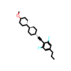 CCCc1cc(F)c(C#C[C@H]2CC[C@H]([C@H]3CC[C@H](OC)CC3)CC2)c(F)c1